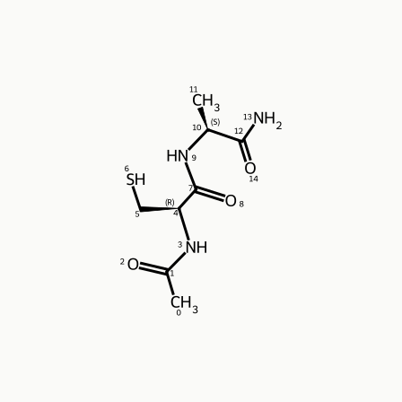 CC(=O)N[C@@H](CS)C(=O)N[C@@H](C)C(N)=O